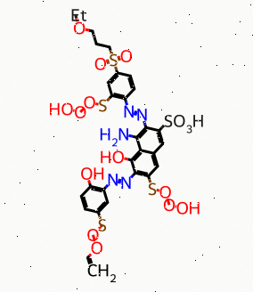 C=COOSc1ccc(O)c(N=Nc2c(SOOO)cc3cc(S(=O)(=O)O)c(N=Nc4ccc(S(=O)(=O)CCCOCC)cc4SOOO)c(N)c3c2O)c1